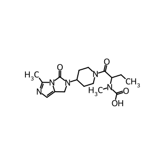 CCC(C(=O)N1CCC(N2Cc3cnc(C)n3C2=O)CC1)N(C)C(=O)O